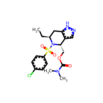 CC[C@H]1Cc2[nH]ncc2[C@H](COC(=O)N(C)C)N1S(=O)(=O)c1ccc(Cl)cc1